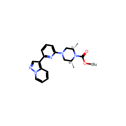 C[C@@H]1CN(c2cccc(-c3cnn4ccccc34)n2)C[C@H](C)N1C(=O)OC(C)(C)C